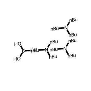 CCCCN(CCCC)CCCC.CCCCN(CCCC)CCCC.CCCCN(CCCC)CCCC.OB(O)O